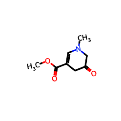 COC(=O)C1=CN(C)CC(=O)C1